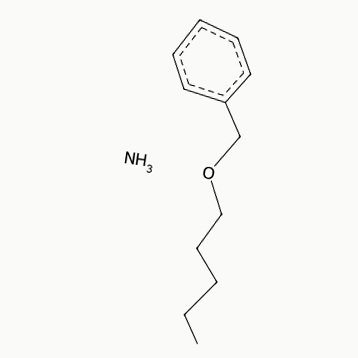 CCCCCOCc1ccccc1.N